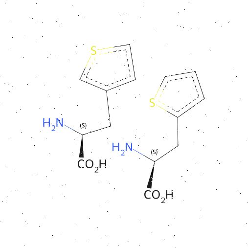 N[C@@H](Cc1cccs1)C(=O)O.N[C@@H](Cc1ccsc1)C(=O)O